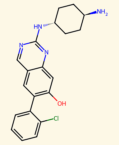 N[C@H]1CC[C@H](Nc2ncc3cc(-c4ccccc4Cl)c(O)cc3n2)CC1